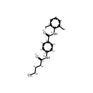 Cc1cccc(C)c1NC(=O)c1ccc(NC(=O)CCCCl)cc1